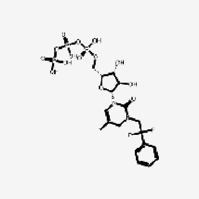 CC1=CN([C@@H]2O[C@H](COP(=O)(O)OP(=O)(O)OP(=O)(O)O)[C@H](O)C2O)C(=O)N(CC(F)(F)c2ccccc2)C1